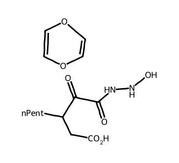 C1=COC=CO1.CCCCCC(CC(=O)O)C(=O)C(=O)NNO